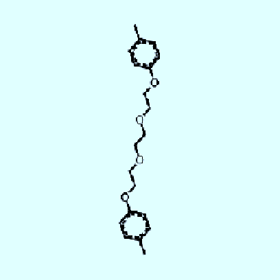 Cc1ccc(OCCOCCOCCOc2ccc(C)cc2)cc1